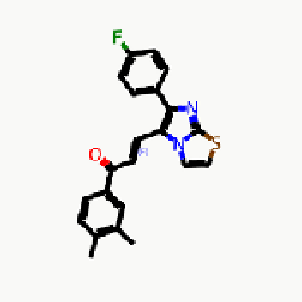 Cc1ccc(C(=O)/C=C/c2c(-c3ccc(F)cc3)nc3sccn23)cc1C